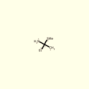 CCC(C)(N)SC